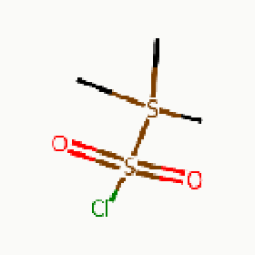 CS(C)(C)S(=O)(=O)Cl